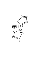 C1=CCC(C2=CC=CC2)=C1.[WH2]